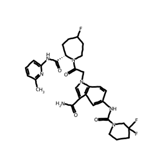 Cc1cccc(NC(=O)[C@@H]2CCC(F)CCN2C(=O)Cn2cc(C(N)=O)c3cc(NC(=O)N4CCCC(F)(F)C4)ccc32)n1